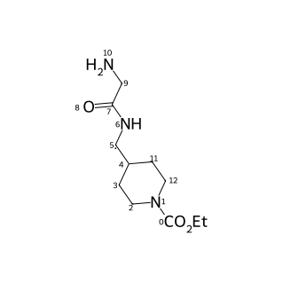 CCOC(=O)N1CCC([CH]NC(=O)CN)CC1